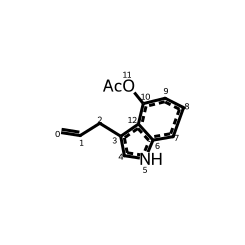 C=CCc1c[nH]c2cccc(OC(C)=O)c12